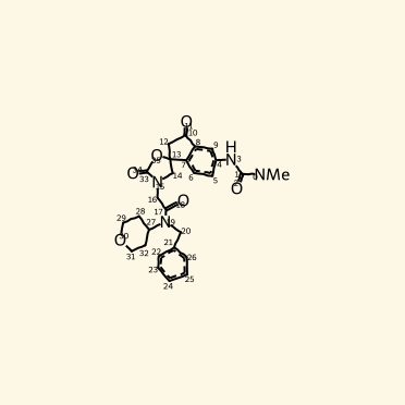 CNC(=O)Nc1ccc2c(c1)C(=O)CC21CN(CC(=O)N(Cc2ccccc2)C2CCOCC2)C(=O)O1